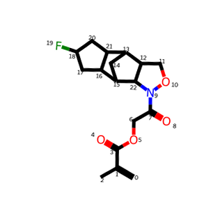 C=C(C)C(=O)OCC(=O)N1OCC2C3CC(C4CC(F)CC34)C21